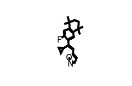 CC1(C)CCC(C)(C)c2cc(C(=Cc3ccno3)C3CC3)c(F)cc21